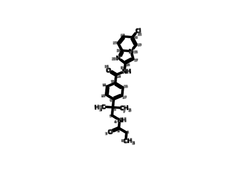 CCC(=O)NCC(C)(C)c1ccc(C(=O)Nc2cn3cc(Cl)ccc3n2)cc1